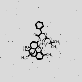 Cc1ccc2c3c1O[C@H]1C(OC(=O)[C@H](OC(=O)OC(C)(C)C)c4ccccc4)=CC[C@@]4(O)[C@@H](C2)N(C)CC[C@]314